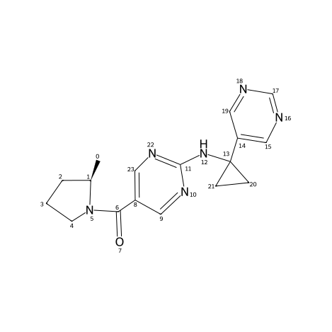 C[C@@H]1CCCN1C(=O)c1cnc(NC2(c3cncnc3)CC2)nc1